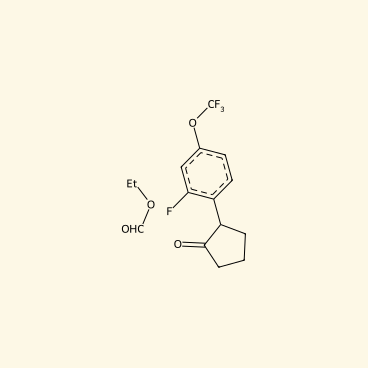 CCOC=O.O=C1CCCC1c1ccc(OC(F)(F)F)cc1F